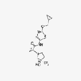 C[C@@H](C(=O)Nc1ccc(OCC2CC2)nn1)N1CC[C@](O)(C(F)(F)F)C1